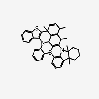 CC1C=CC2(C)C3=C1C(C)C1=C4B(c5ccccc5N(c5c2sc2ccccc52)C43)c2cccc3c2N1C1(C)CCCCC31C